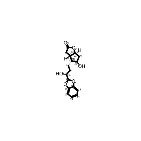 O=C1C[C@@H]2[C@@H](CC[C@H](O)C3Oc4ccccc4O3)[C@H](O)C[C@@H]2O1